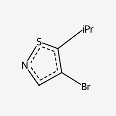 CC(C)c1sncc1Br